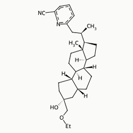 CCOC[C@@]1(O)CC[C@H]2[C@H](CC[C@@H]3[C@@H]2CC[C@]2(C)[C@@H]([C@H](C)Cc4cccc(C#N)n4)CC[C@@H]32)C1